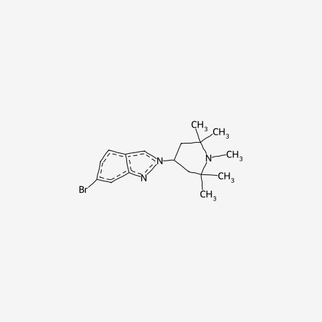 CN1C(C)(C)CC(n2cc3ccc(Br)cc3n2)CC1(C)C